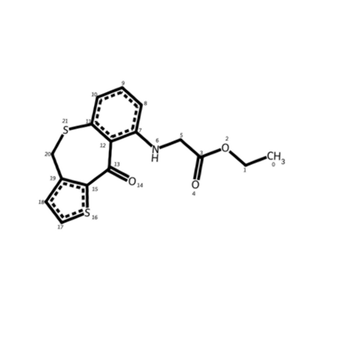 CCOC(=O)CNc1cccc2c1C(=O)c1sccc1CS2